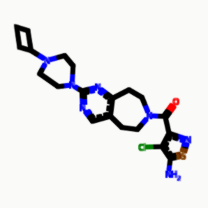 Nc1snc(C(=O)N2CCc3cnc(N4CCN(C5CCC5)CC4)nc3CC2)c1Cl